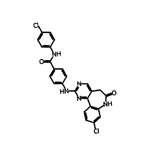 O=C1Cc2cnc(Nc3ccc(C(=O)Nc4ccc(Cl)cc4)cc3)nc2-c2ccc(Cl)cc2N1